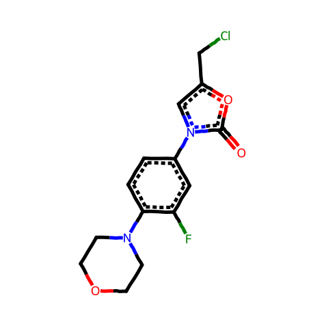 O=c1oc(CCl)cn1-c1ccc(N2CCOCC2)c(F)c1